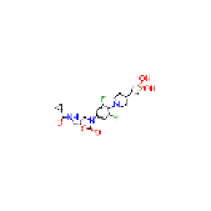 O=C(NCC1CN(c2cc(F)c(N3CCC(C4CS(O)(O)C4)CC3)c(F)c2)C(=O)O1)C1CC1